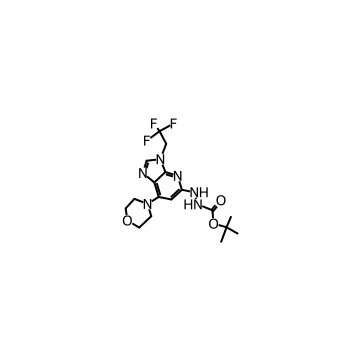 CC(C)(C)OC(=O)NNc1cc(N2CCOCC2)c2ncn(CC(F)(F)F)c2n1